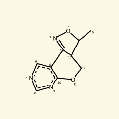 CC1ON=C2c3cncnc3OCC21